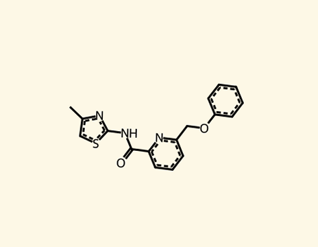 Cc1csc(NC(=O)c2cccc(COc3ccccc3)n2)n1